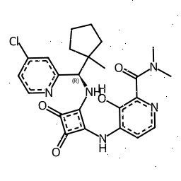 CN(C)C(=O)c1nccc(Nc2c(N[C@@H](c3cc(Cl)ccn3)C3(C)CCCC3)c(=O)c2=O)c1O